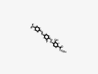 CCCCOC(=O)c1ccc(/N=N/c2ccc(/N=N/c3ccc(N(C)C)cc3)cc2F)c(O)c1